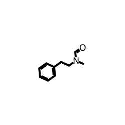 CN(C=O)CCc1ccccc1